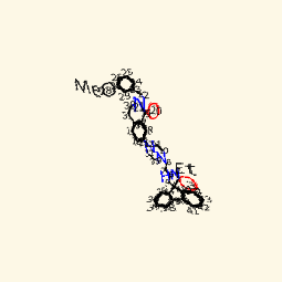 CCNC(=O)C1(CCCCN2CCN(c3ccc4c(c3)C(=O)N(Cc3cccc(OC)c3)CC4)CC2)c2ccccc2-c2ccccc21